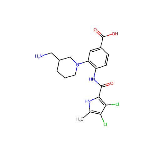 Cc1[nH]c(C(=O)Nc2ccc(C(=O)O)cc2N2CCCC(CN)C2)c(Cl)c1Cl